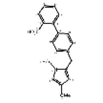 CCCCCCn1nc(OC)nc1Cc1ccc(-c2ccccc2C(=O)O)cc1